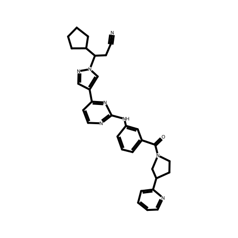 N#CCC(C1CCCC1)n1cc(-c2ccnc(Nc3cccc(C(=O)N4CCC(c5ccccn5)C4)c3)n2)cn1